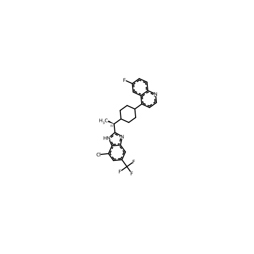 C[C@H](c1nc2cc(C(F)(F)F)cc(Cl)c2[nH]1)C1CCC(c2ccnc3ccc(F)cc23)CC1